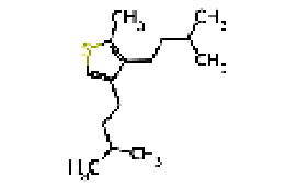 Cc1scc(CCC(C)C)c1CCC(C)C